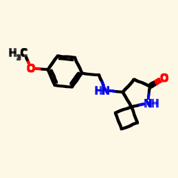 COc1ccc(CNC2CC(=O)NC23CCC3)cc1